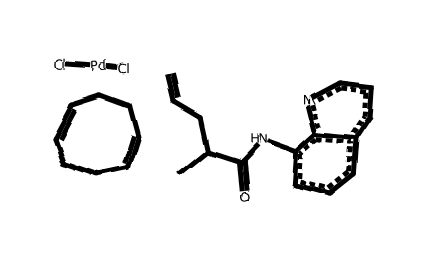 C1=CCCC=CCC1.C=CCC(C)C(=O)Nc1cccc2cccnc12.[Cl][Pd][Cl]